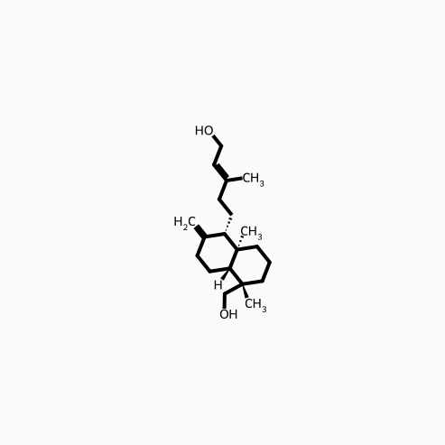 C=C1CC[C@H]2[C@@](C)(CO)CCC[C@]2(C)[C@H]1CC/C(C)=C/CO